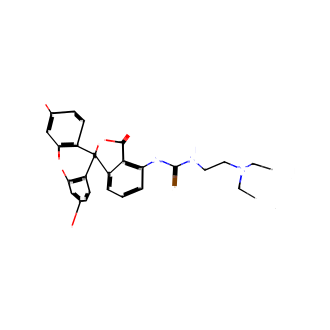 O=C(O)CN(CCNC(=S)Nc1cccc2c1C(=O)OC21c2ccc(O)cc2Oc2cc(O)ccc21)CC(=O)O